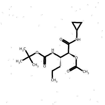 CCC[C@H](NC(=O)OC(C)(C)C)[C@H](OC(C)=O)C(=O)NC1CC1